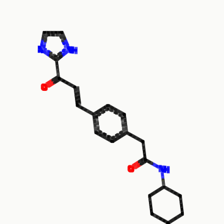 O=C(Cc1ccc(/C=C/C(=O)c2ncc[nH]2)cc1)NC1CCCCC1